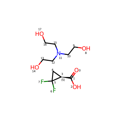 O=C(O)[C@@H]1CC1(F)F.OCCN(CCO)CCO